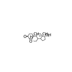 CC12CCC3C(CC[C@]45O[C@H]4C(=O)CCC35C)C1CCC2O